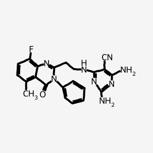 Cc1ccc(F)c2nc(CCNc3nc(N)nc(N)c3C#N)n(-c3ccccc3)c(=O)c12